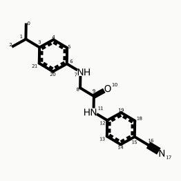 CC(C)c1ccc(NCC(=O)Nc2ccc(C#N)cc2)cc1